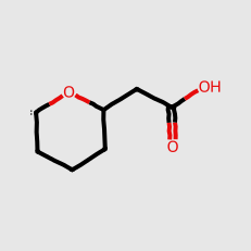 O=C(O)CC1CCC[C]O1